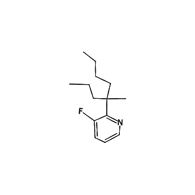 CCCCC(C)(CCC)c1ncccc1F